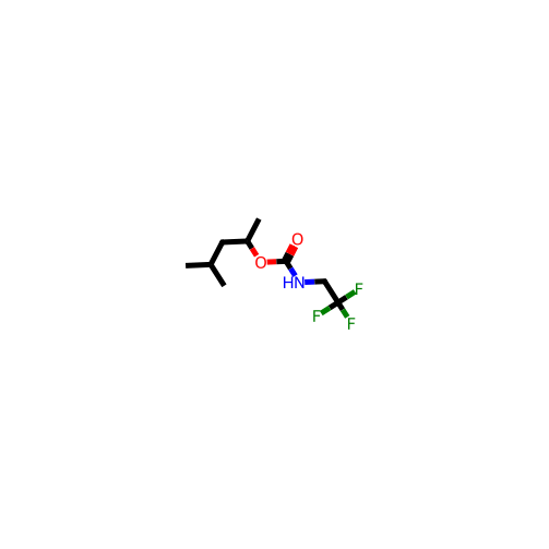 CC(C)CC(C)OC(=O)NCC(F)(F)F